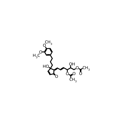 COc1ccc(CCCC2(O)C=CC(=O)C2=CC=CC(OC(C)=O)C(O)COC(C)=O)cc1OC